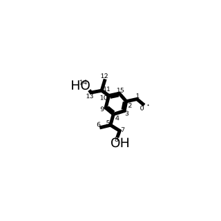 [CH2]Cc1cc(C(C)CO)cc(C(C)CO)c1